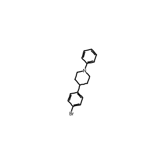 Brc1ccc(C2CCN(c3ccccc3)CC2)cc1